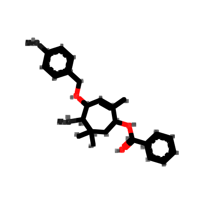 COc1ccc(COC2C=C(C)C(OC(=O)c3ccccc3)CC(C)(C)C2OC)cc1